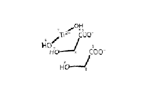 O=C([O-])CO.O=C([O-])CO.[OH][Ti+2][OH]